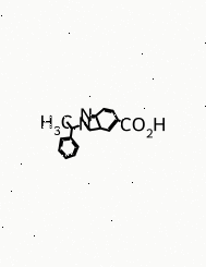 CC(c1ccccc1)N1CC2C=C(C(=O)O)C=CC2=N1